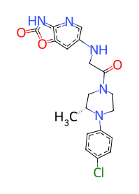 C[C@@H]1CN(C(=O)CNc2cnc3[nH]c(=O)oc3c2)CCN1c1ccc(Cl)cc1